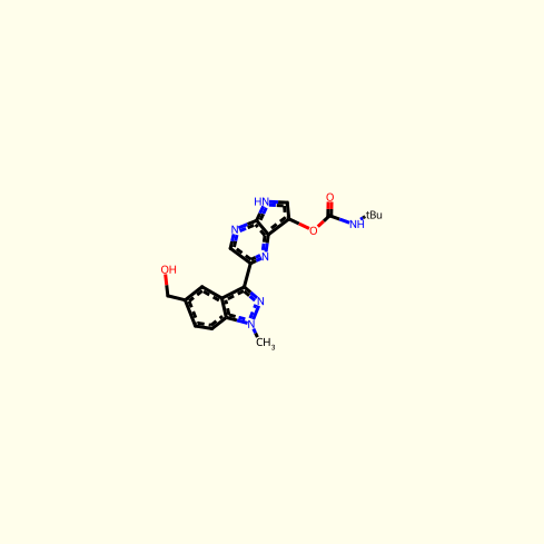 Cn1nc(-c2cnc3[nH]cc(OC(=O)NC(C)(C)C)c3n2)c2cc(CO)ccc21